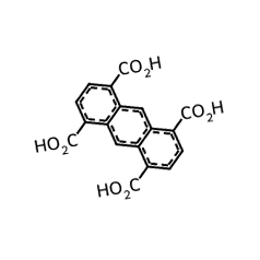 O=C(O)c1ccc(C(=O)O)c2cc3c(C(=O)O)ccc(C(=O)O)c3cc12